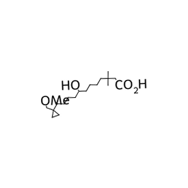 COCC1(CCCCC(O)CCCCC(C)(C)CC(=O)O)CC1